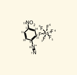 F[As-](F)(F)(F)(F)F.N#[N+]c1ccc([N+](=O)[O-])cc1